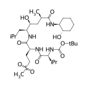 CC(C)C[C@H](NC(=O)[C@H](CCS(C)(=O)=O)NC(=O)[C@@H](NC(=O)OC(C)(C)C)C(C)C)[C@@H](O)C[C@@H](C)C(=O)N[C@H]1CCCC[C@@H]1O